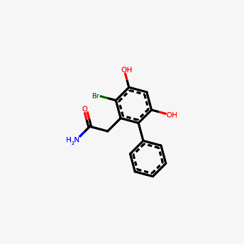 NC(=O)Cc1c(Br)c(O)cc(O)c1-c1ccccc1